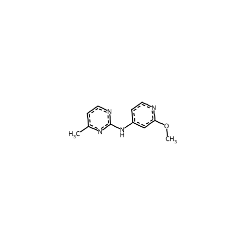 COc1cc(Nc2nccc(C)n2)ccn1